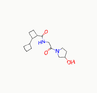 O=C(NCC(=O)N1CCC(O)C1)C1CCC1C1CCC1